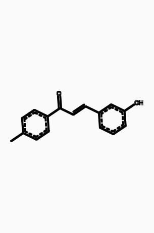 Cc1ccc(C(=O)/C=C/c2cccc(O)c2)cc1